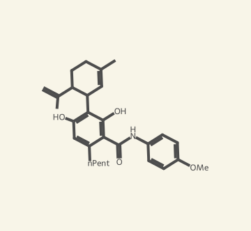 C=C(C)C1CCC(C)=CC1c1c(O)cc(CCCCC)c(C(=O)Nc2ccc(OC)cc2)c1O